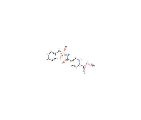 CCCOC(=O)c1ccc(C(=O)NS(=O)(=O)Cc2ccccc2)cn1